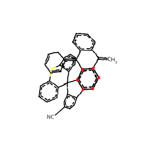 C=C(c1ccc2c(c1)C1(c3ccccc3Sc3ccccc31)c1cc(C#N)ccc1-2)c1ccccc1/C(=C1/C=CC=CC1)c1ccccc1